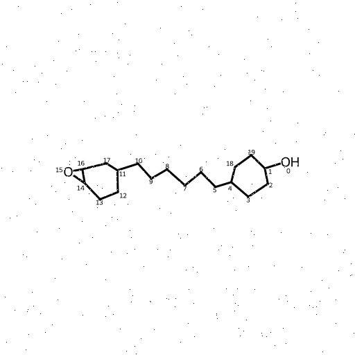 OC1CCC(CCCCCCC2CCC3OC3C2)CC1